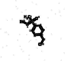 CCN=S(C)(=O)c1ccc(CCl)cc1